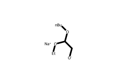 CCCCOC(C[O-])OCC.[Na+]